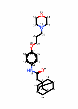 O=C(CC12CC3CC(CC(C3)C1)C2)Nc1ccc(OCCCN2CCOCC2)cc1